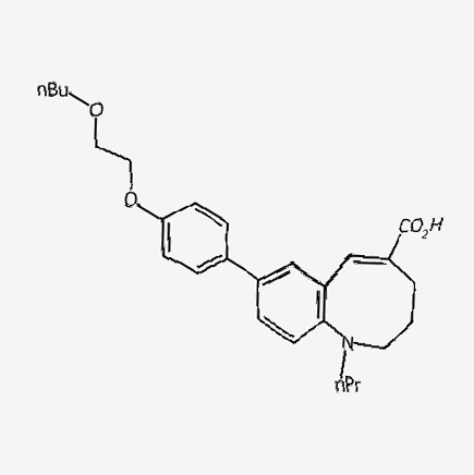 CCCCOCCOc1ccc(-c2ccc3c(c2)C=C(C(=O)O)CCCN3CCC)cc1